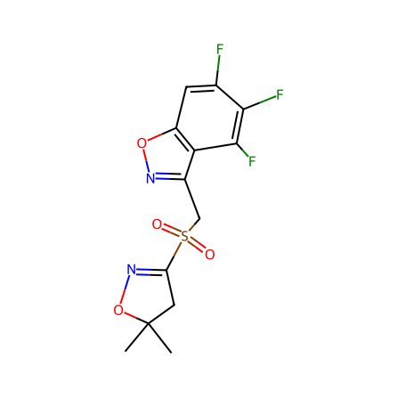 CC1(C)CC(S(=O)(=O)Cc2noc3cc(F)c(F)c(F)c23)=NO1